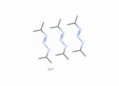 CC(C)N=N[N-]C(C)C.CC(C)N=N[N-]C(C)C.CC(C)N=N[N-]C(C)C.[Ga+3]